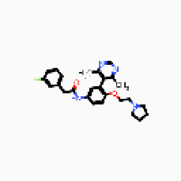 Cc1ncnc(C)c1-c1cc(NC(=O)Cc2cccc(F)c2)ccc1OCCN1CCCC1